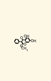 COc1oc2cc(O)cc(O)c2c(=O)c1-c1ccccc1